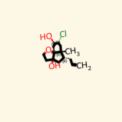 C=CC[C@@H]1C[C@]2(O)CCO[C@@]23C[C@@H](O)[C@H](Cl)C[C@]13C